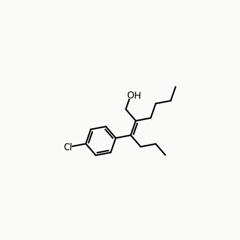 CCCC/C(CO)=C(\CCC)c1ccc(Cl)cc1